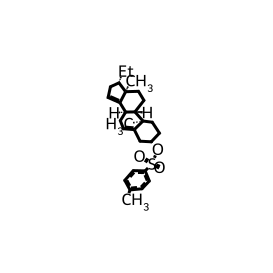 CC[C@H]1CC=C2[C@@H]3CC=C4C[C@@H](OS(=O)(=O)c5ccc(C)cc5)CC[C@]4(C)[C@H]3CC[C@@]21C